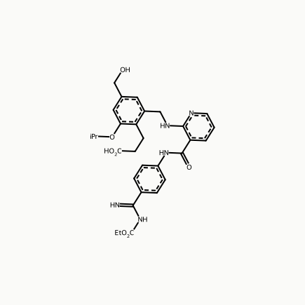 CCOC(=O)NC(=N)c1ccc(NC(=O)c2cccnc2NCc2cc(CO)cc(OC(C)C)c2CCC(=O)O)cc1